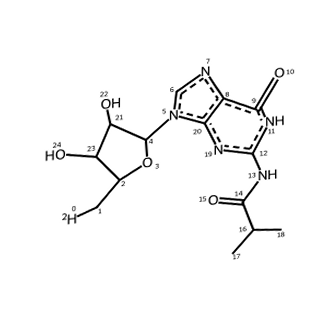 [2H]CC1OC(n2cnc3c(=O)[nH]c(NC(=O)C(C)C)nc32)C(O)C1O